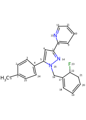 Cc1ccc(-c2cc(-c3ccccn3)nn2CC2=CC=CCC2F)cc1